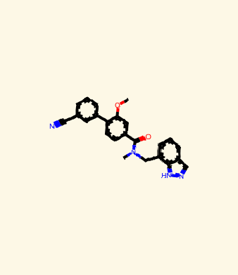 COc1cc(C(=O)N(C)Cc2cccc3cn[nH]c23)ccc1-c1cccc(C#N)c1